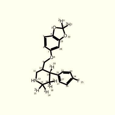 [2H]C1([2H])Oc2ccc(OCC3CNC([2H])([2H])C([2H])([2H])[C@@]3([2H])c3ccc(F)cc3)cc2O1